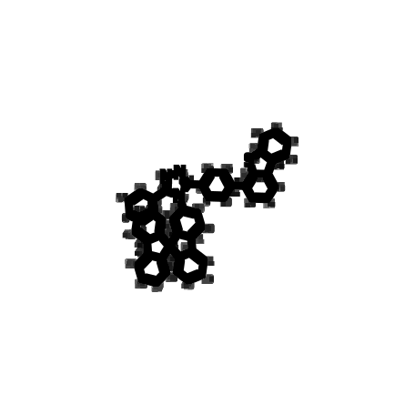 c1ccc(-c2nnc(-c3ccc(-c4cccc5c4sc4ccccc45)cc3)n2-c2ccc3c(c2)C2(c4ccccc4-c4ccccc42)c2ccccc2-3)cc1